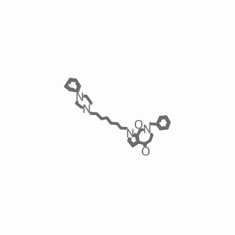 O=C1CCN(Cc2ccccc2)C(=O)c2c1ccn2CCCCCCCCN1CCN(c2ccccc2)CC1